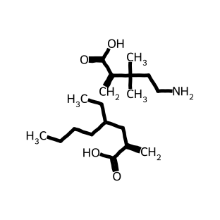 C=C(C(=O)O)C(C)(C)CCN.C=C(CC(CC)CCCC)C(=O)O